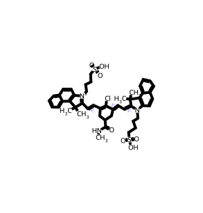 CNC(=O)C1CC(/C=C/C2=[N+](CCCCS(=O)(=O)O)c3ccc4ccccc4c3C2(C)C)=C(Cl)C(=C/C=C2/N(CCCCS(=O)(=O)O)c3ccc4ccccc4c3C2(C)C)/C1